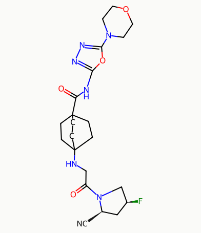 N#C[C@@H]1C[C@H](F)CN1C(=O)CNC12CCC(C(=O)Nc3nnc(N4CCOCC4)o3)(CC1)CC2